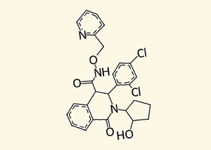 O=C(NOCc1ccccn1)C1c2ccccc2C(=O)N(C2CCCC2O)C1c1ccc(Cl)cc1Cl